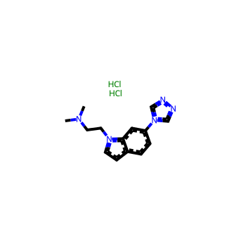 CN(C)CCn1ccc2ccc(-n3cnnc3)cc21.Cl.Cl